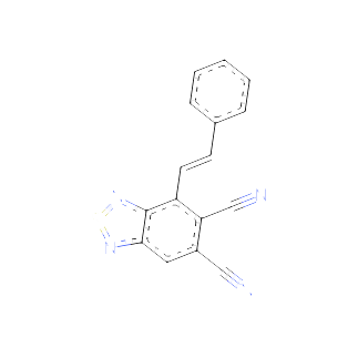 N#Cc1cc2nsnc2c(/C=C/c2ccccc2)c1C#N